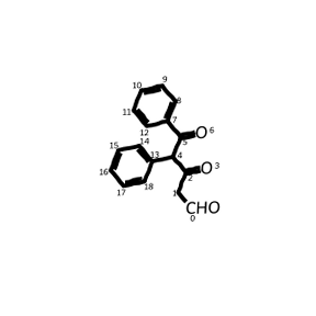 O=CCC(=O)C(C(=O)c1ccccc1)c1ccccc1